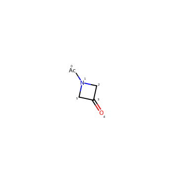 CC(=O)N1CC(=O)C1